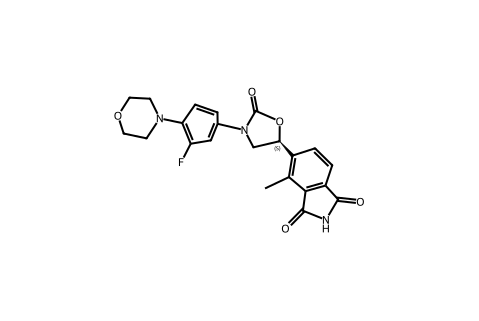 Cc1c([C@H]2CN(c3ccc(N4CCOCC4)c(F)c3)C(=O)O2)ccc2c1C(=O)NC2=O